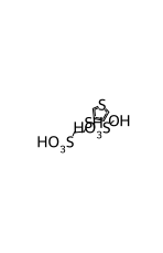 O=S(=O)(O)CCS.O=S(=O)(O)O.c1ccsc1